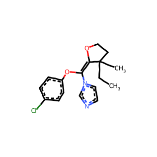 CCC1(C)CCOC1=C(Oc1ccc(Cl)cc1)n1ccnc1